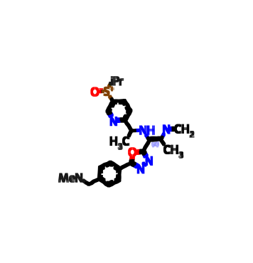 C=N/C(C)=C(\NC(C)c1ccc([S+]([O-])C(C)C)cn1)c1nnc(-c2ccc(CNC)cc2)o1